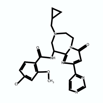 COc1cc(Cl)ccc1C(=O)NC1CN(CC2CC2)CCn2c1nc(-c1ccncn1)cc2=O